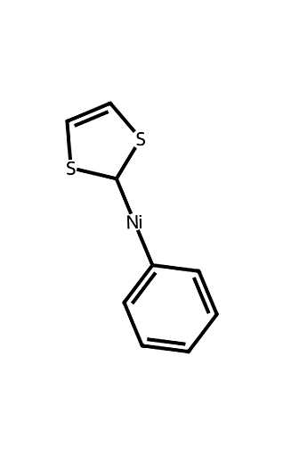 C1=CS[CH]([Ni][c]2ccccc2)S1